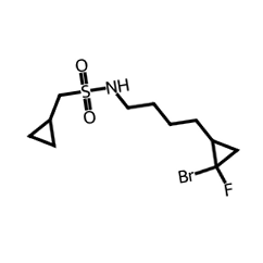 O=S(=O)(CC1CC1)NCCCCC1CC1(F)Br